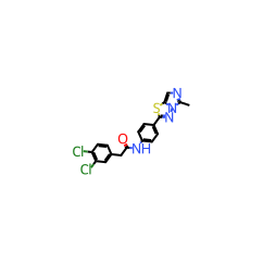 Cc1ncc2sc(-c3ccc(NC(=O)Cc4ccc(Cl)c(Cl)c4)cc3)nn12